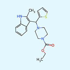 CCOC(=O)N1CCN(C(c2cccs2)c2c(C)[nH]c3ccccc23)CC1